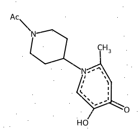 CC(=O)N1CCC(n2cc(O)c(=O)cc2C)CC1